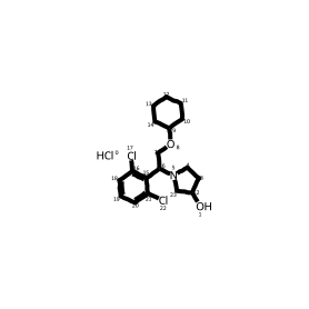 Cl.OC1CCN(C(COC2CCCCC2)c2c(Cl)cccc2Cl)C1